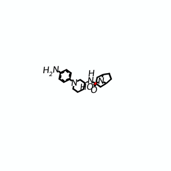 Nc1ccc(N2CCC[C@H](NC(=O)N3C4CCC3CC(O)C4)C2)cc1